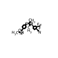 Cc1nnc(-c2ccc(Oc3c(C)nn(-c4ccc(C#N)c(C(F)(F)F)c4)c3C)cc2)o1